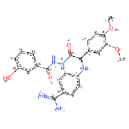 CCOc1cc(C(Nc2ccc(C(=N)N)cc2)C(=O)NNC(=O)c2cccc(O)c2)ccc1OC(C)C